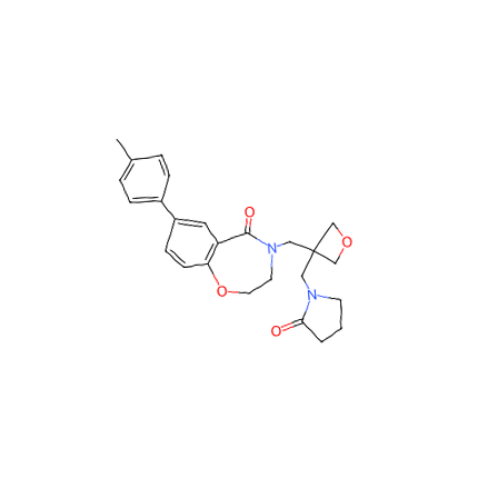 Cc1ccc(-c2ccc3c(c2)C(=O)N(CC2(CN4CCCC4=O)COC2)CCO3)cc1